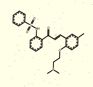 Cc1ccc(OCCN(C)C)c(/C=C/C(=O)c2ccccc2NS(=O)(=O)c2ccccc2)c1